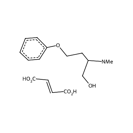 CNC(CO)CCOc1ccccc1.O=C(O)C=CC(=O)O